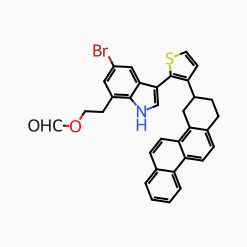 O=COCCc1cc(Br)cc2c(-c3sccc3C3CCc4ccc5c(ccc6ccccc65)c4C3)c[nH]c12